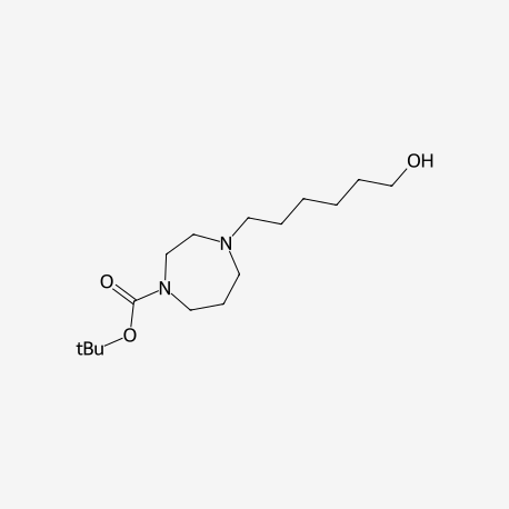 CC(C)(C)OC(=O)N1CCCN(CCCCCCO)CC1